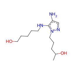 CC(O)CCCn1ncc(N)c1NCCCCCO